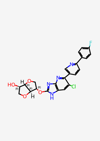 O[C@@H]1CO[C@H]2[C@@H]1OC[C@H]2Oc1nc2nc(-c3ccc(-c4ccc(F)cc4)nc3)c(Cl)cc2[nH]1